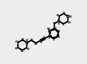 C(#Cc1cccc(CN2CCOCC2)n1)CCN1CCCCC1